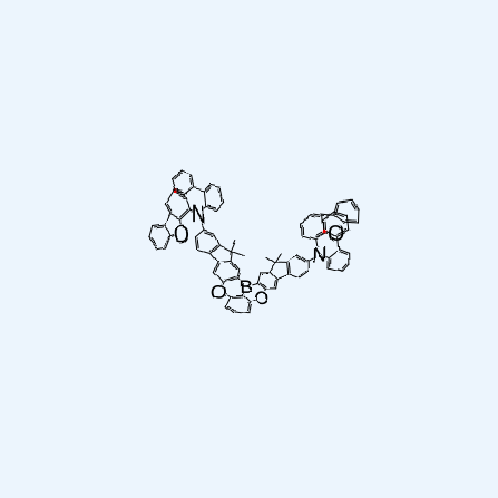 CC1(C)c2cc(N(c3ccccc3-c3ccccc3)c3cccc4c3oc3ccccc34)ccc2-c2cc3c(cc21)B1c2cc4c(cc2Oc2cccc(c21)O3)-c1ccc(N(c2ccccc2-c2ccccc2)c2cccc3c2oc2ccccc23)cc1C4(C)C